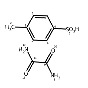 Cc1ccc(S(=O)(=O)O)cc1.NC(=O)C(N)=O